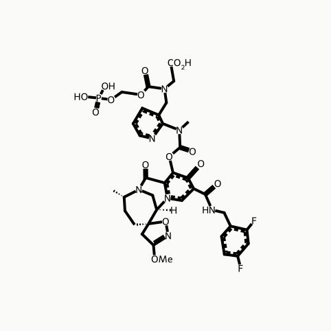 COC1=NO[C@@]2(CC[C@H](C)N3C[C@H]2n2cc(C(=O)NCc4ccc(F)cc4F)c(=O)c(OC(=O)N(C)c4ncccc4CN(CC(=O)O)C(=O)OCOP(=O)(O)O)c2C3=O)C1